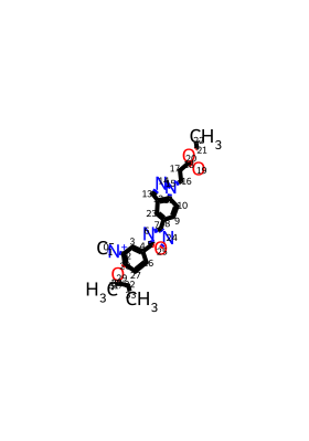 [C-]#[N+]c1cc(-c2nc(-c3ccc4c(cnn4CCC(=O)OCC)c3)no2)ccc1O[C@@H](C)CC